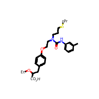 CCCSCCCN(CCOc1ccc(CC(OCC)C(=O)O)cc1)C(=O)Nc1cccc(C)c1